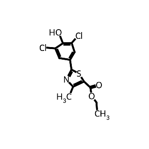 CCOC(=O)c1sc(-c2cc(Cl)c(O)c(Cl)c2)nc1C